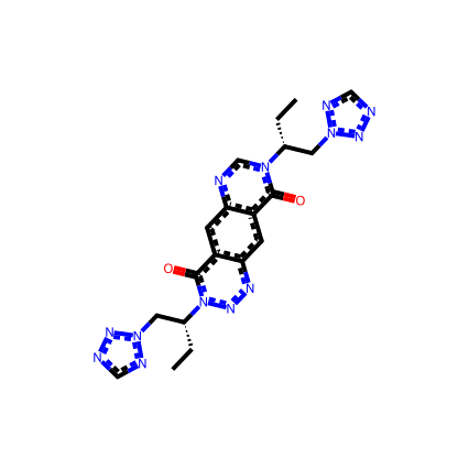 CC[C@H](Cn1ncnn1)n1cnc2cc3c(=O)n([C@H](CC)Cn4ncnn4)nnc3cc2c1=O